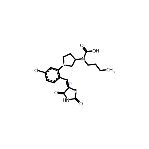 CCCCN(C(=O)O)C1CCN(c2cc(Cl)ccc2/C=C2/SC(=O)NC2=O)C1